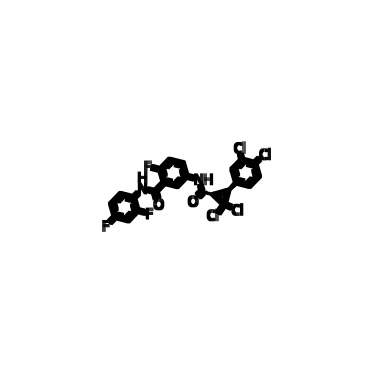 O=C(Nc1ccc(F)cc1F)c1cc(NC(=O)[C@@H]2[C@@H](c3ccc(Cl)c(Cl)c3)C2(Cl)Cl)ccc1F